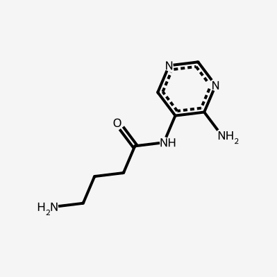 NCCCC(=O)Nc1cncnc1N